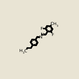 CCCc1ccc(C=NN=Cc2c(F)cc(C)cc2F)cc1